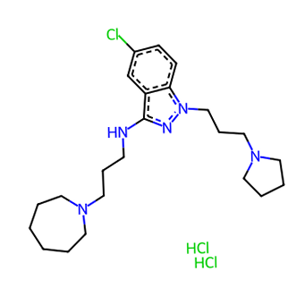 Cl.Cl.Clc1ccc2c(c1)c(NCCCN1CCCCCC1)nn2CCCN1CCCC1